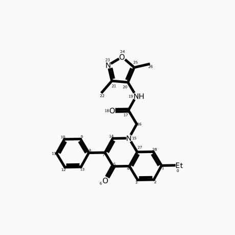 CCc1ccc2c(=O)c(-c3ccccc3)cn(CC(=O)Nc3c(C)noc3C)c2c1